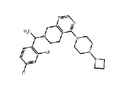 CC(c1ccc(Cl)cc1Cl)N1CCc2c(ncnc2N2CCN(C3CCC3)CC2)C1